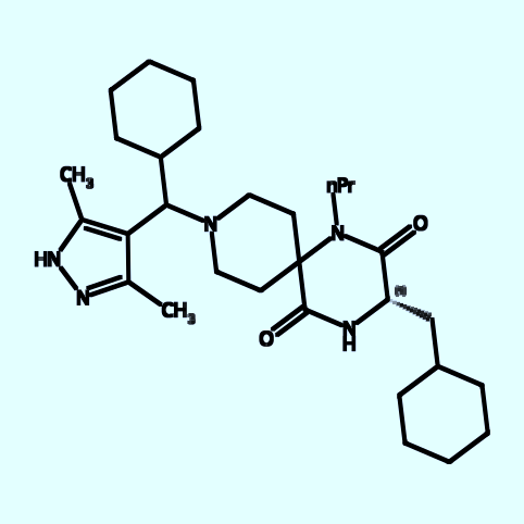 CCCN1C(=O)[C@H](CC2CCCCC2)NC(=O)C12CCN(C(c1c(C)n[nH]c1C)C1CCCCC1)CC2